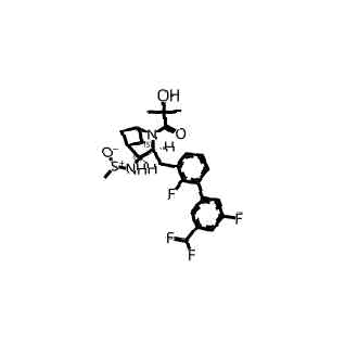 C[S+]([O-])N[C@H]1C2CC(C2)N(C(=O)C(C)(C)O)[C@H]1Cc1cccc(-c2cc(F)cc(C(F)F)c2)c1F